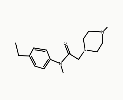 CCc1ccc(N(C)C(=O)CN2CCN(C)CC2)cc1